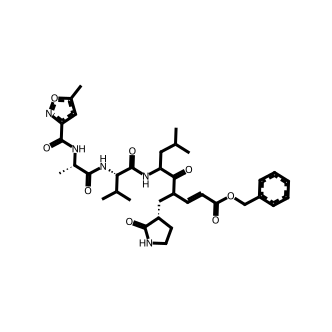 Cc1cc(C(=O)N[C@@H](C)C(=O)N[C@H](C(=O)NC(CC(C)C)C(=O)C(/C=C/C(=O)OCc2ccccc2)C[C@@H]2CCNC2=O)C(C)C)no1